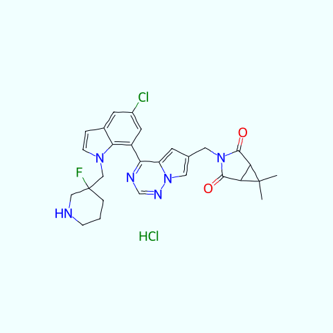 CC1(C)C2C(=O)N(Cc3cc4c(-c5cc(Cl)cc6ccn(CC7(F)CCCNC7)c56)ncnn4c3)C(=O)C21.Cl